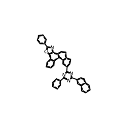 c1ccc(-c2nc(-c3ccc4ccccc4c3)nc(-c3ccc4ccc5c6nc(-c7ccccc7)oc6c6ccccc6c5c4c3)n2)cc1